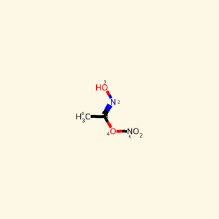 CC(=NO)O[N+](=O)[O-]